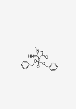 CN1CC(=O)N(P(=O)(OCc2ccccc2)OCc2ccccc2)C1=N